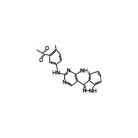 Cc1ccc(Nc2ncc(-c3n[nH]c4ccccc34)c(N)n2)cc1S(C)(=O)=O